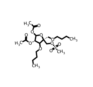 CCCCOC[C@@]1(COS(C)(=O)=O)OC(OC(C)=O)[C@@H](OC(C)=O)C1OCCCC